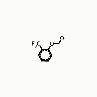 [O]COc1ccccc1C(F)(F)F